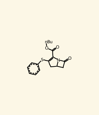 CCCCOC(=O)C1=C(Sc2ccccc2)CC2CC(=O)N12